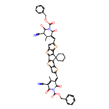 CC1=C(C#N)C(=O)N(C(=O)OCc2ccccc2)C(=O)/C1=C/c1cc2sc3c(c2s1)C1(CCCCC1)c1c-3sc2cc(/C=C3/C(=O)N(C(=O)OCc4ccccc4)C(=O)C(C#N)C3C)sc12